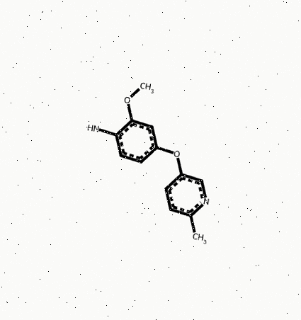 COc1cc(Oc2ccc(C)nc2)ccc1[NH]